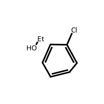 CCO.Clc1ccccc1